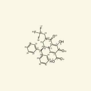 O=C(O)c1cn2c(c(O)c1=O)C(=O)N(CC(F)(F)F)C[C@@H]2C(c1ccccc1)c1ccccc1